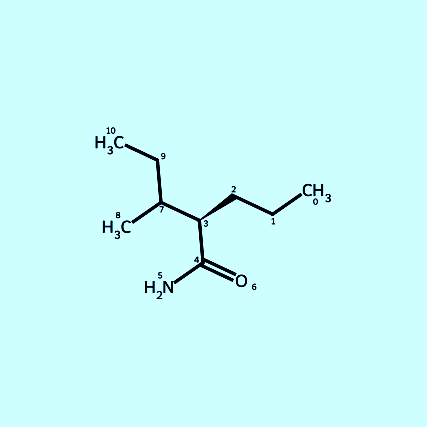 CCC[C@@H](C(N)=O)C(C)CC